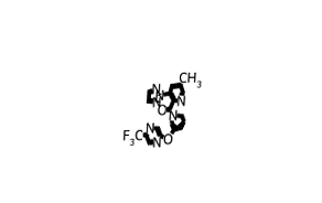 Cc1cnc(C(=O)N2CC3CC(Oc4cnc(C(F)(F)F)cn4)C2C3)c(-n2nccn2)c1